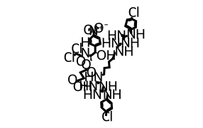 N=C(NCCCCCCNC(=N)NC(=N)Nc1ccc(Cl)cc1)NC(=N)Nc1ccc(Cl)cc1.O=C(O)CCC(=O)OC[C@@H](NC(=O)C(Cl)Cl)[C@H](O)c1ccc([N+](=O)[O-])cc1